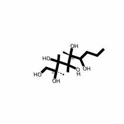 CCCC(O)[C@@](C)(O)C(C)(O)C(C)(O)[C@@](C)(O)CO